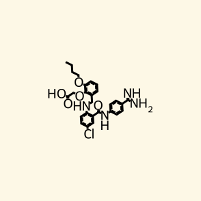 CCCCOc1cccc(CNc2ccc(Cl)cc2C(=O)Nc2ccc(C(=N)N)cc2)c1OCC(=O)O